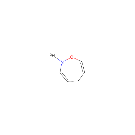 [2H]N1C=CCC=CO1